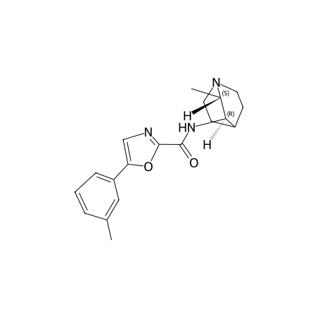 Cc1cccc(-c2cnc(C(=O)N[C@@H]3C4CCN(CC4)[C@H]3C)o2)c1